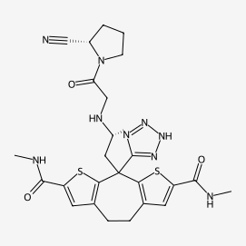 CNC(=O)c1cc2c(s1)C(C[C@@H](C)NCC(=O)N1CCC[C@H]1C#N)(c1nn[nH]n1)c1sc(C(=O)NC)cc1CC2